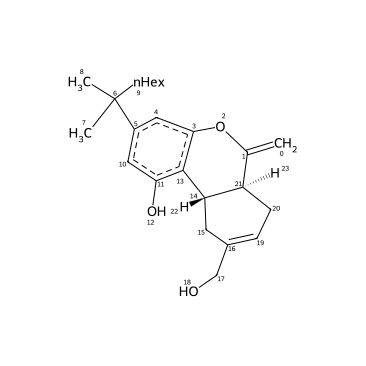 C=C1Oc2cc(C(C)(C)CCCCCC)cc(O)c2[C@H]2CC(CO)=CC[C@H]12